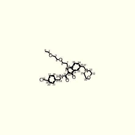 CCOCCOCCn1nc(C(=O)NCc2ccc(Cl)cc2)c(=O)c2cc(CN3CCOCC3)ccc21